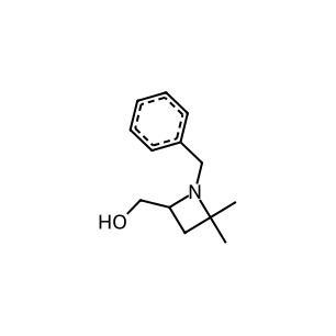 CC1(C)CC(CO)N1Cc1ccccc1